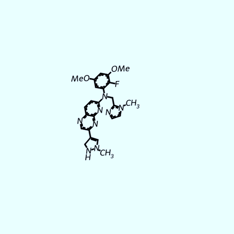 COc1cc(OC)c(F)c(N(Cc2nccn2C)c2ccc3ncc(C4=CN(C)NC4)nc3n2)c1